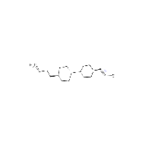 C=CCC[C@H]1CC[C@H]([C@H]2CC[C@H](/C=C/Cl)CC2)CC1